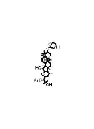 CC(=O)O[C@@H](C1C[C@@H](C)C2C(O1)[C@H](O)[C@@]1(C)[C@@H]3CC[C@H]4C(C)(C)[C@@H](O[C@H]5CNCCO5)CC[C@@]45CC35CC[C@]21C)C(C)(C)O